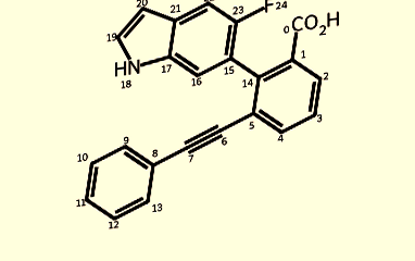 O=C(O)c1cccc(C#Cc2ccccc2)c1-c1cc2[nH]ccc2cc1F